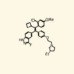 CC[C@@H]1CCN(CCOc2ccc(/C(=C(\c3ccc(OC)cc3Cl)C3CCC3)c3ccc4[nH]nc(F)c4c3)cc2)C1